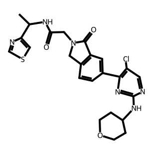 CC(NC(=O)CN1Cc2ccc(-c3nc(NC4CCOCC4)ncc3Cl)cc2C1=O)c1cscn1